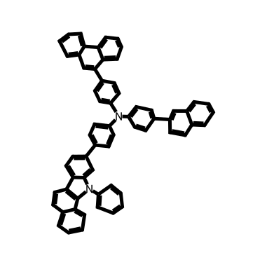 c1ccc(-n2c3cc(-c4ccc(N(c5ccc(-c6ccc7ccccc7c6)cc5)c5ccc(-c6cc7ccccc7c7ccccc67)cc5)cc4)ccc3c3ccc4ccccc4c32)cc1